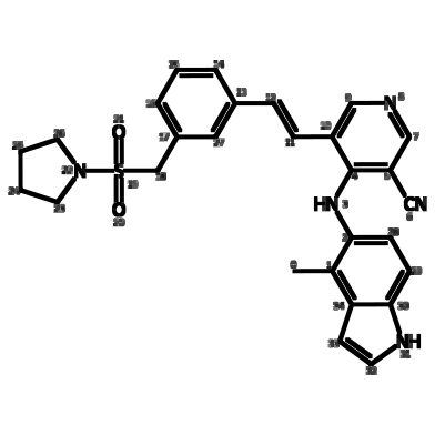 Cc1c(Nc2c(C#N)cncc2C=Cc2cccc(CS(=O)(=O)N3CCCC3)c2)ccc2[nH]ccc12